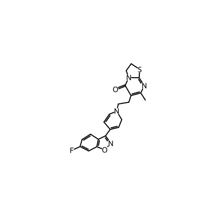 Cc1nc2n(c(=O)c1CCN1C=CC(c3noc4cc(F)ccc34)=CC1)CCS2